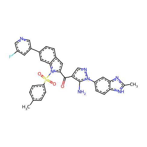 Cc1ccc(S(=O)(=O)n2c(C(=O)c3cnn(-c4ccc5[nH]c(C)nc5c4)c3N)cc3ccc(-c4cncc(F)c4)cc32)cc1